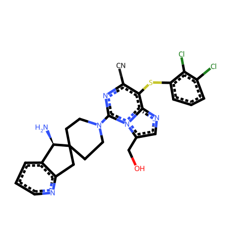 N#Cc1nc(N2CCC3(CC2)Cc2ncccc2[C@H]3N)n2c(CO)cnc2c1Sc1cccc(Cl)c1Cl